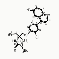 CC(C)CC(C)(COc1cnc(-c2ccnc3ccc(F)cc23)cc1Cl)NC(=O)OC(C)(C)C